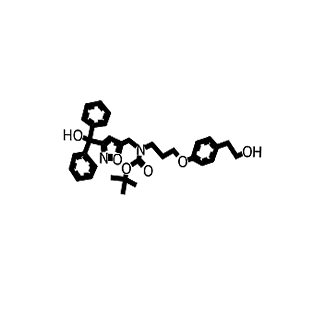 CC(C)(C)OC(=O)N(CCCOc1ccc(CCO)cc1)Cc1cc(C(O)(c2ccccc2)c2ccccc2)no1